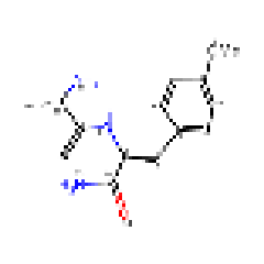 C=C(N[C@@H](Cc1ccc(OC)cc1)C(N)=O)[C@H](C)N